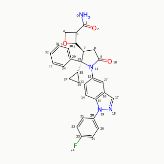 NC(=O)C1COC1[C@H]1CC(=O)N(c2ccc3c(cnn3-c3ccc(F)cc3)c2)[C@]1(c1ccccc1)C1CC1